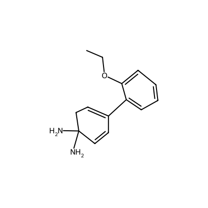 CCOc1ccccc1C1=CCC(N)(N)C=C1